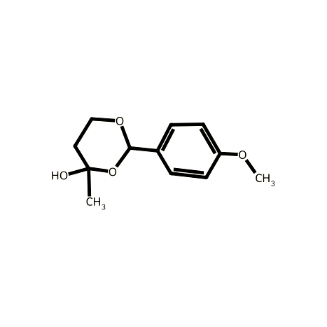 COc1ccc(C2OCCC(C)(O)O2)cc1